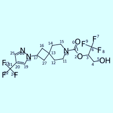 O=C(OC(CO)C(F)(F)F)N1CCC2(CC1)CC(n1cc(C(F)(F)F)cn1)C2